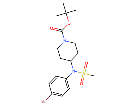 CC(C)(C)OC(=O)N1CCC(N(c2ccc(Br)cc2)S(C)(=O)=O)CC1